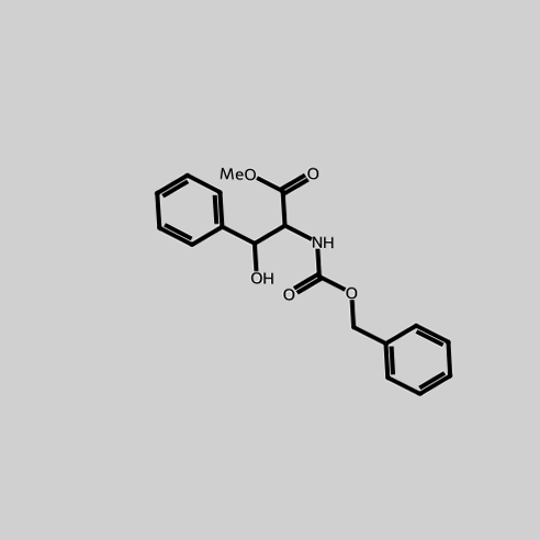 COC(=O)C(NC(=O)OCc1ccccc1)C(O)c1ccccc1